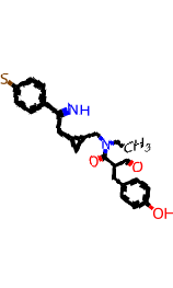 CCN(CC1=CC1CC(=N)c1ccc(S)cc1)C(=O)C(C=O)Cc1ccc(O)cc1